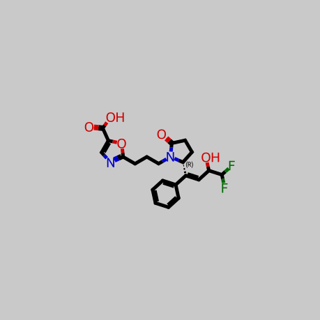 O=C(O)c1cnc(CCCN2C(=O)CC[C@@H]2C(=CC(O)C(F)F)c2ccccc2)o1